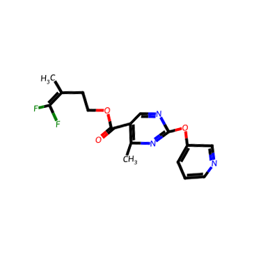 CC(CCOC(=O)c1cnc(Oc2cccnc2)nc1C)=C(F)F